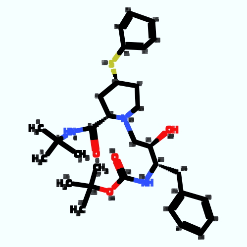 CC(C)(C)NC(=O)[C@@H]1C[C@H](Sc2ccccc2)CCN1C[C@@H](O)[C@H](Cc1ccccc1)NC(=O)OC(C)(C)C